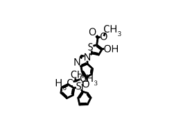 COC(=O)c1sc(-n2cnc3cc(O[Si](c4ccccc4)(c4ccccc4)C(C)(C)C)ccc32)cc1O